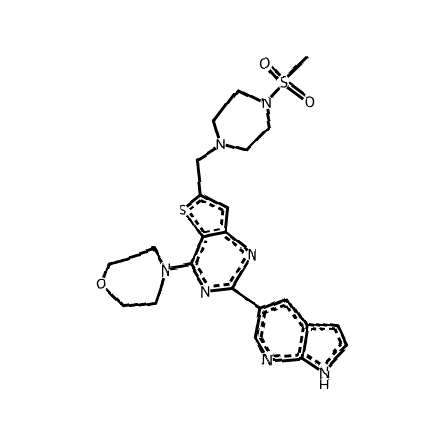 CS(=O)(=O)N1CCN(Cc2cc3nc(-c4cnc5[nH]ccc5c4)nc(N4CCOCC4)c3s2)CC1